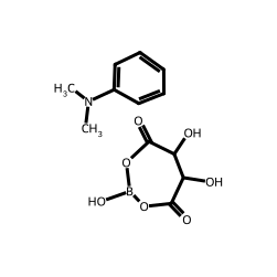 CN(C)c1ccccc1.O=C1OB(O)OC(=O)C(O)C1O